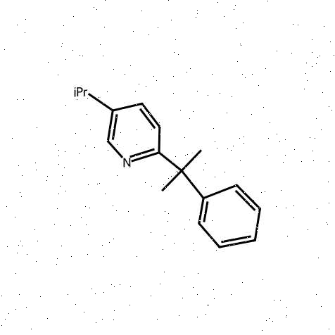 CC(C)c1ccc(C(C)(C)c2ccccc2)nc1